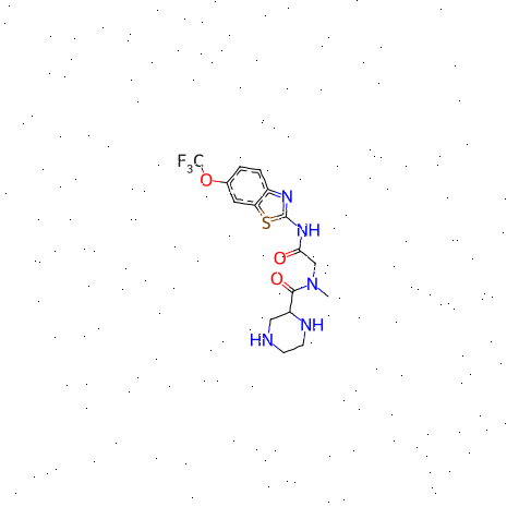 CN(CC(=O)Nc1nc2ccc(OC(F)(F)F)cc2s1)C(=O)C1CNCCN1